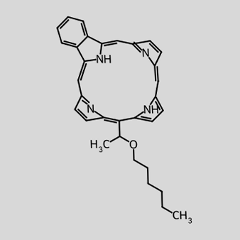 CCCCCCOC(C)c1c2nc(cc3[nH]c(cc4nc(cc5ccc1[nH]5)C=C4)c1ccccc31)C=C2